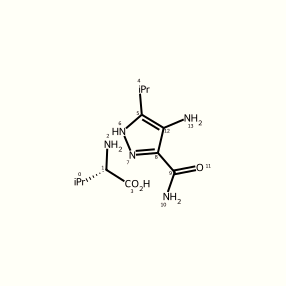 CC(C)[C@H](N)C(=O)O.CC(C)c1[nH]nc(C(N)=O)c1N